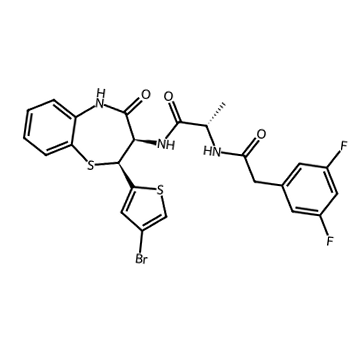 C[C@H](NC(=O)Cc1cc(F)cc(F)c1)C(=O)N[C@@H]1C(=O)Nc2ccccc2S[C@@H]1c1cc(Br)cs1